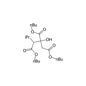 CCCCOC(=O)CC(O)(C(=O)OCCCC)C(C(=O)OCCCC)C(C)C